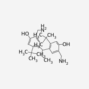 CCC(c1cc(CN)c(O)cc1C(C)(C)C)c1cc(CN)c(O)cc1C(C)(C)C